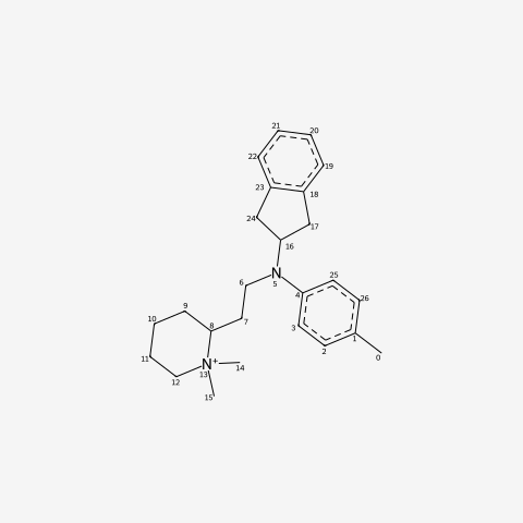 Cc1ccc(N(CCC2CCCC[N+]2(C)C)C2Cc3ccccc3C2)cc1